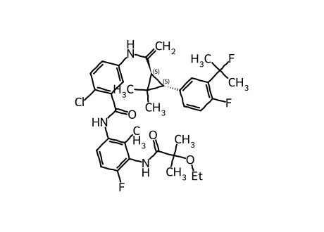 C=C(Nc1ccc(Cl)c(C(=O)Nc2ccc(F)c(NC(=O)C(C)(C)OCC)c2C)c1)[C@H]1[C@H](c2ccc(F)c(C(C)(C)F)c2)C1(C)C